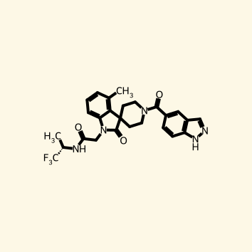 Cc1cccc2c1C1(CCN(C(=O)c3ccc4[nH]ncc4c3)CC1)C(=O)N2CC(=O)N[C@@H](C)C(F)(F)F